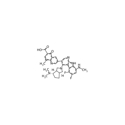 CNc1cc(F)c(F)c2c1[nH]c1ncc(-c3cnc4c(c3)c(=O)c(C(=O)O)cn4C)c(N3C[C@H]4CC[C@H](N(C)C)[C@H]4C3)c12